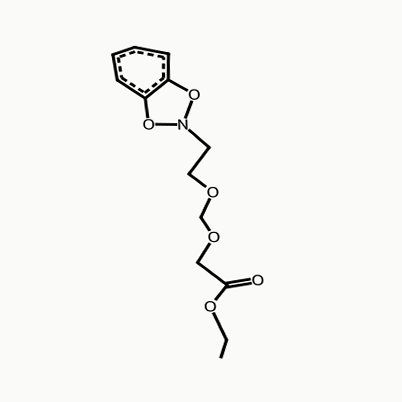 CCOC(=O)COCOCCN1Oc2ccccc2O1